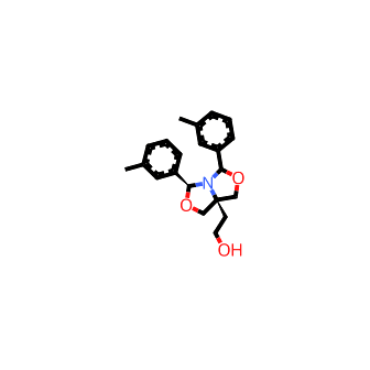 Cc1cccc(C2OC[C@]3(CCO)CO[C@@H](c4cccc(C)c4)N23)c1